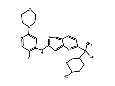 CC(O)(c1ccc2cnc(Nc3cc(N4CCOCC4)ncc3F)cc2n1)C1CCC(O)CC1